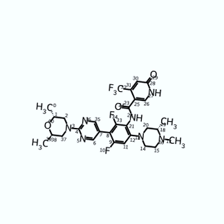 C[C@@H]1CN(c2ncc(-c3c(F)cc(N4CCN(C)[C@@H](C)C4)c(NC(=O)c4c[nH]c(=O)cc4C(F)(F)F)c3F)cn2)C[C@@H](C)O1